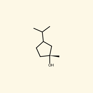 CC(C)C1CC[C@@](C)(O)C1